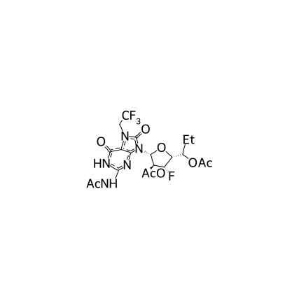 CCC(OC(C)=O)[C@H]1O[C@@H](n2c(=O)n(CC(F)(F)F)c3c(=O)[nH]c(NC(C)=O)nc32)[C@H](OC(C)=O)[C@H]1F